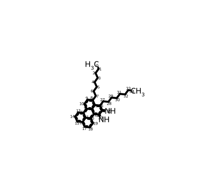 CCCCCCCCc1ccc2c3cccc4cccc(c5c(=N)c(=N)c(CCCCCCCC)c1c25)c43